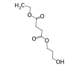 CCOC(=O)CCC(=O)OCCCO